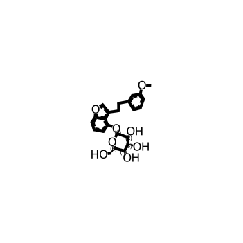 COc1cccc(CCc2coc3cccc(O[C@@H]4O[C@H](CO)[C@@H](O)[C@H](O)[C@H]4O)c23)c1